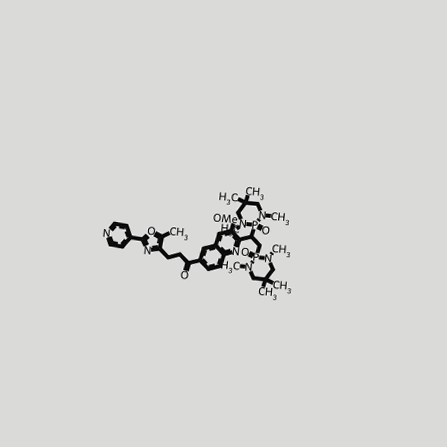 COc1cc2cc(C(=O)CCc3nc(-c4ccncc4)oc3C)ccc2nc1C(CP1(=O)N(C)CC(C)(C)CN1C)P1(=O)N(C)CC(C)(C)CN1C